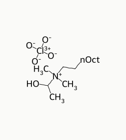 CCCCCCCCCC[N+](C)(C)C(C)O.[O-][Cl+3]([O-])([O-])[O-]